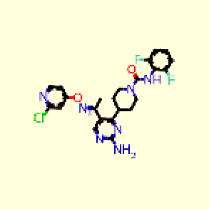 C/C(=N\Oc1ccnc(Cl)c1)c1cnc(N)nc1C1CCN(C(=O)Nc2c(F)cccc2F)CC1